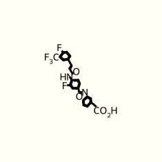 O=C(O)Cc1ccc2oc(-c3ccc(NC(=O)C=Cc4ccc(F)c(C(F)(F)F)c4)c(F)c3)nc2c1